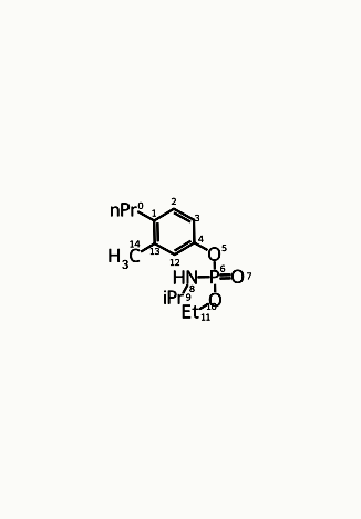 CCCc1ccc(OP(=O)(NC(C)C)OCC)cc1C